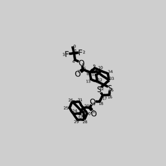 CC(F)(F)COC(=O)C12CC3CC(C1)C1(SCC(COC(=O)C45CC6CC(CC(C6)C4)C5)S1)C(C3)C2